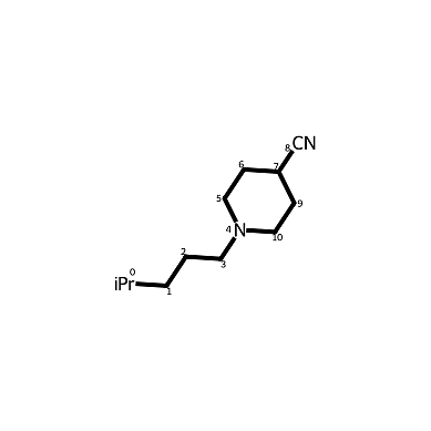 CC(C)CCCN1CCC(C#N)CC1